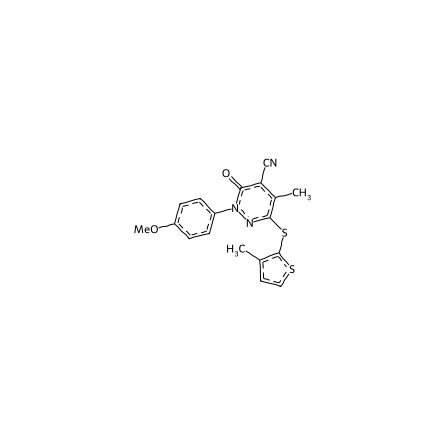 COc1ccc(-n2nc(Sc3sccc3C)c(C)c(C#N)c2=O)cc1